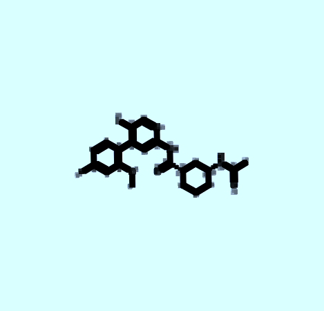 COc1cc(F)ccc1-c1cc(NC(=O)[C@H]2CCC[C@@H](NC(C)=O)C2)ncc1F